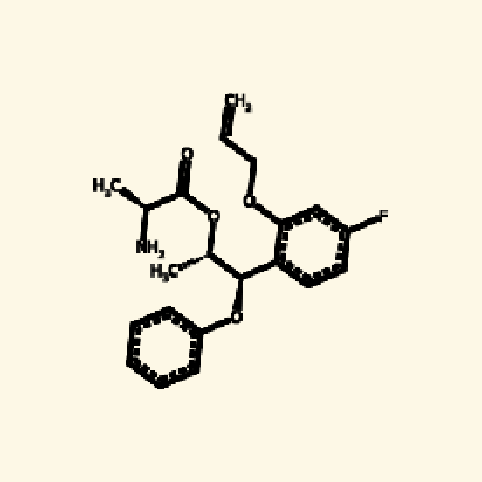 C=CCOc1cc(F)ccc1[C@@H](Oc1ccccc1)[C@H](C)OC(=O)[C@H](C)N